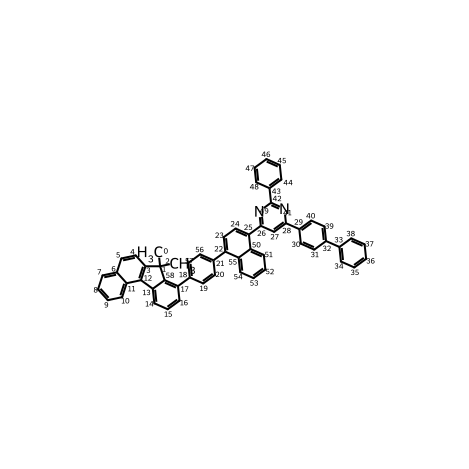 CC1(C)c2ccc3ccccc3c2-c2cccc(-c3ccc(-c4ccc(-c5cc(-c6ccc(-c7ccccc7)cc6)nc(-c6ccccc6)n5)c5ccccc45)cc3)c21